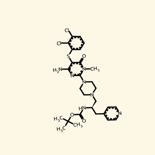 Cn1c(N2CCN(C[C@@H](Cc3ccncc3)NC(=O)OC(C)(C)C)CC2)nc(N)c(Sc2cccc(Cl)c2Cl)c1=O